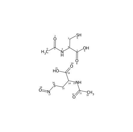 CC(=O)NC(CS)C(=O)O.CC(=O)NC(CSN=O)C(=O)O